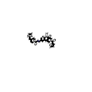 O=C(/C=C/c1cnc2c(c1)CC1(CCN(C(=O)c3ccco3)CC1)C(=O)N2)N1CCC(=Cc2nccs2)CC1